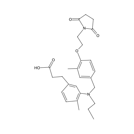 CCCN(Cc1ccc(OCCN2C(=O)CCC2=O)c(C)c1)c1cc(CCC(=O)O)ccc1C